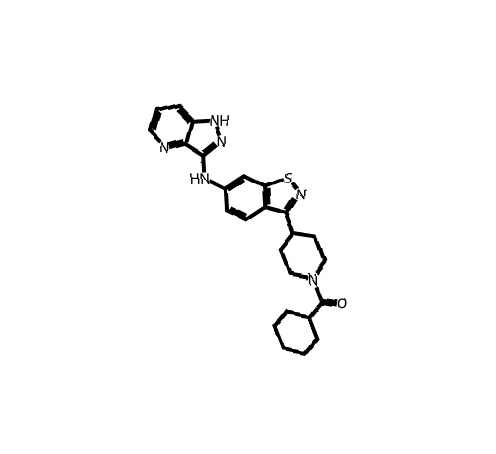 O=C(C1CCCCC1)N1CCC(c2nsc3cc(Nc4n[nH]c5cccnc45)ccc23)CC1